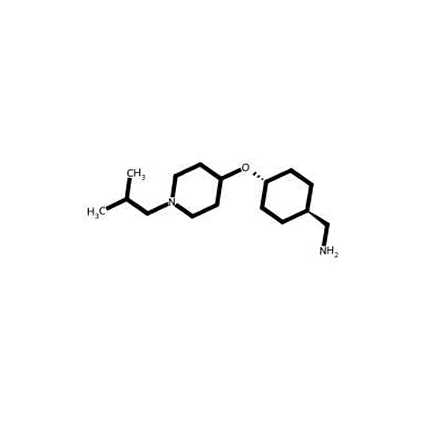 CC(C)CN1CCC(O[C@H]2CC[C@H](CN)CC2)CC1